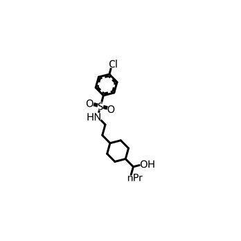 CCCC(O)C1CCC(CCNS(=O)(=O)c2ccc(Cl)cc2)CC1